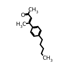 CCCCCc1ccc(/C(C)=C/C(C)=O)cc1